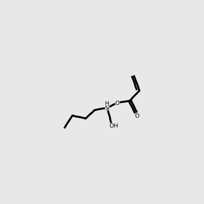 C=CC(=O)O[SiH](O)CCCC